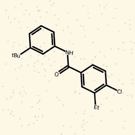 CCc1cc(C(=O)Nc2cccc(C(C)(C)C)c2)ccc1Cl